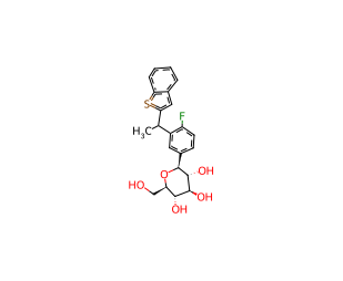 CC(c1cc2ccccc2s1)c1cc([C@@H]2O[C@H](CO)[C@@H](O)[C@H](O)[C@H]2O)ccc1F